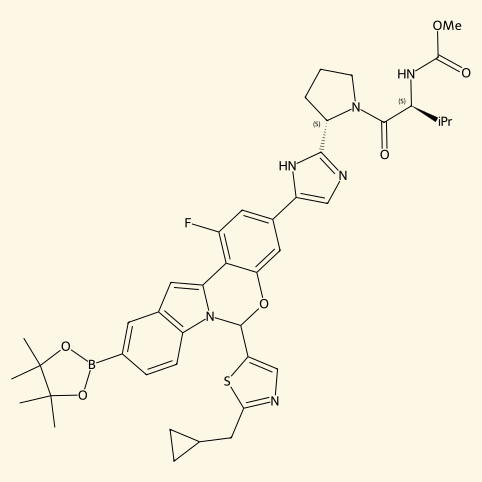 COC(=O)N[C@H](C(=O)N1CCC[C@H]1c1ncc(-c2cc(F)c3c(c2)OC(c2cnc(CC4CC4)s2)n2c-3cc3cc(B4OC(C)(C)C(C)(C)O4)ccc32)[nH]1)C(C)C